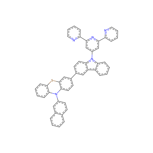 c1ccc(-c2cc(-n3c4ccccc4c4cc(-c5ccc6c(c5)Sc5ccccc5N6c5ccc6ccccc6c5)ccc43)cc(-c3ccccn3)n2)nc1